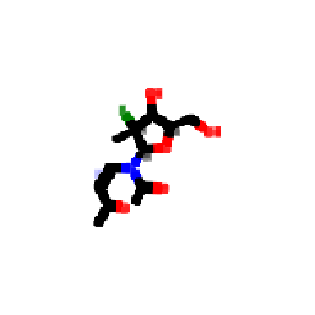 CC(=O)/C=C\N(C(C)=O)[C@@H]1O[C@H](CO)C(O)[C@@]1(C)F